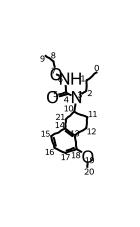 CCCN(C(=O)NOCC)C1CCc2c(cccc2OC)C1